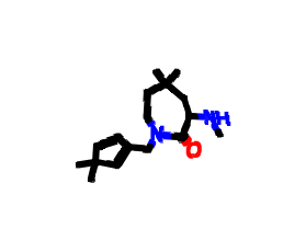 CNC1CC(C)(C)CCN(CC2=CC(C)(C)C=C2)C1=O